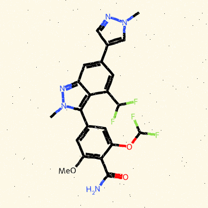 COc1cc(-c2c3c(C(F)F)cc(-c4cnn(C)c4)cc3nn2C)cc(OC(F)F)c1C(N)=O